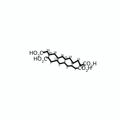 O=C(O)CCCCCCCCC(=O)O.O=C(O)CCCCCCCCCCC(=O)O